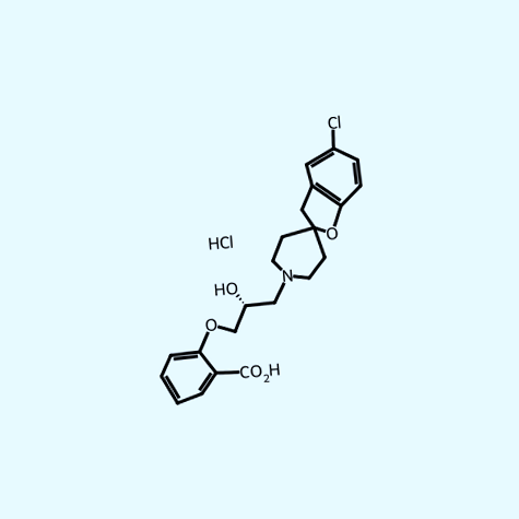 Cl.O=C(O)c1ccccc1OC[C@H](O)CN1CCC2(CC1)Cc1cc(Cl)ccc1O2